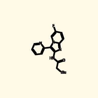 CC(C)(C)CC(=O)Nc1nc2ccc(F)cn2c1-c1ccccn1